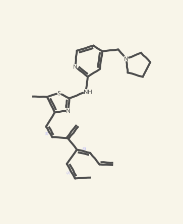 C=C/C=C(\C=C/C)C(=C)/C=C\c1nc(Nc2cc(CN3CCCC3)ccn2)sc1C